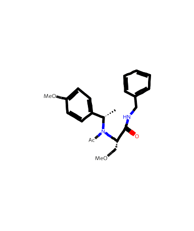 COC[C@@H](C(=O)NCc1ccccc1)N(C(C)=O)[C@@H](C)c1ccc(OC)cc1